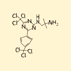 CC(C)(N)CNc1nc(-c2ccc(C(Cl)(Cl)Cl)cc2)nc(C(Cl)(Cl)Cl)n1